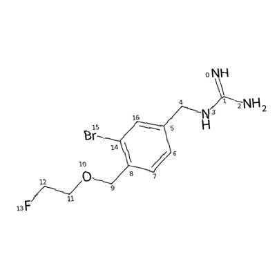 N=C(N)NCc1ccc(COCCF)c(Br)c1